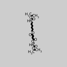 CC(C)OC(=O)NCCCCCCOC(=O)/C=C/C(=O)OCNC(=O)OC(C)C